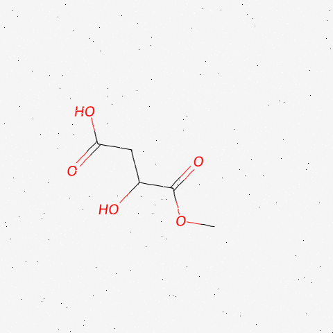 COC(=O)C(O)CC(=O)O